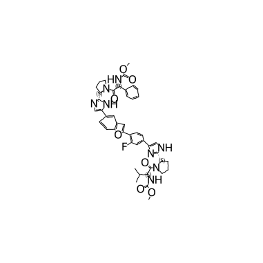 COC(=O)N[C@H](C(=O)N1CCC[C@H]1c1nc(-c2ccc(-c3cc4cc(-c5cnc([C@@H]6CCCN6C(=O)[C@H](NC(=O)OC)c6ccccc6)[nH]5)ccc4o3)c(F)c2)c[nH]1)C(C)C